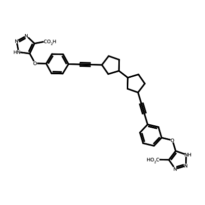 O=C(O)c1nn[nH]c1Oc1ccc(C#CC2CCC(C3CCC(C#Cc4cccc(Oc5[nH]nnc5C(=O)O)c4)C3)C2)cc1